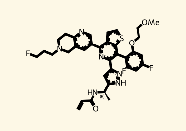 C=CC(=O)N[C@H](C)c1cc(-c2nc(-c3cnc4c(c3)CN(CCCF)CC4)c3ccsc3c2-c2c(F)cc(F)cc2OCCOC)n[nH]1